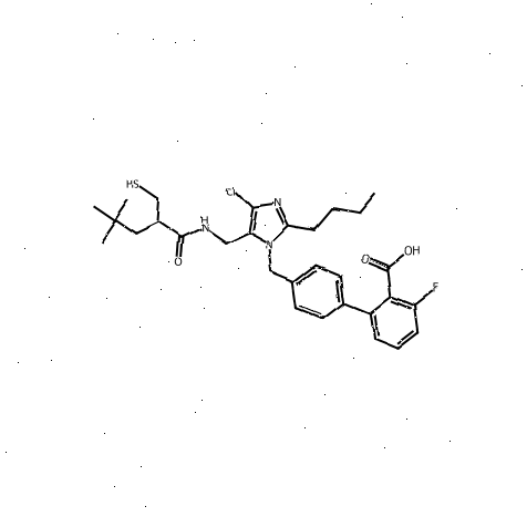 CCCCc1nc(Cl)c(CNC(=O)C(CS)CC(C)(C)C)n1Cc1ccc(-c2cccc(F)c2C(=O)O)cc1